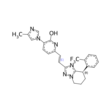 Cc1cn(-c2ccc(/C=C/c3nc4n(n3)CCC[C@@H]4c3ccccc3C(F)(F)F)nc2O)cn1